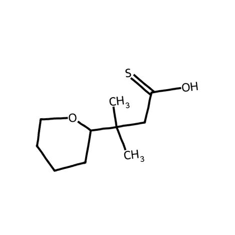 CC(C)(CC(O)=S)C1CCCCO1